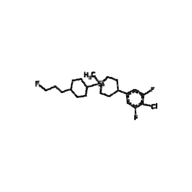 C[Si]1(C2CCC(CCCF)CC2)CCC(c2cc(F)c(Cl)c(F)c2)CC1